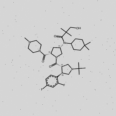 CN1CCN(C(=O)[C@@H]2C[C@H](N(C(=O)C(C)(C)CO)C3CCC(C)(C)CC3)CN2C(=O)[C@@H]2CN(C(C)(C)C)C[C@H]2c2ccc(F)cc2F)CC1